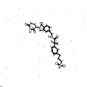 CS(=O)(=O)CCCc1cccc(C(F)(F)C(=O)NCc2ccc3c(c2)CN(C2CCC(=O)NC2=O)C3=O)c1